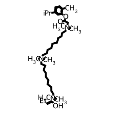 CC/C=C(/O)[N+](C)(C)CCCCCCCCCC[N+](C)(C)CCCCCCCCCC[N+](C)(C)CC(=O)Oc1cc(C(C)C)ccc1C